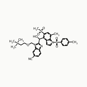 Cc1ccc(S(=O)(=O)n2ccc3c(C(O)c4nc5ccc(C#N)cc5n4COCC[Si](C)(C)C)c(S(C)(=O)=O)cc(C)c32)cc1